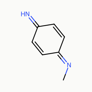 CN=C1C=CC(=N)C=C1